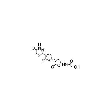 O=C(CO)NC[C@H]1CN(c2ccc(C3=NNC(=O)CS3)c(F)c2)C(=O)O1